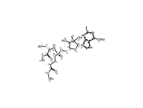 COc1nc(C)nc2c1ncn2[C@@H]1O[C@H](COP(=O)(N[C@@H](CC(C)C)C(=O)OC(C)C)OCCC(=O)OC(C)(C)C)C(O)[C@]1(C)O